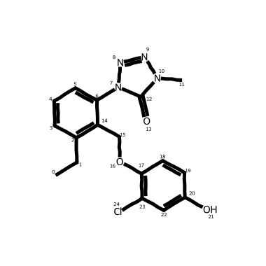 CCc1cccc(-n2nnn(C)c2=O)c1COc1ccc(O)cc1Cl